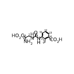 Cc1c(NC(=O)NCC(N)C(=O)O)cccc1C(=O)O